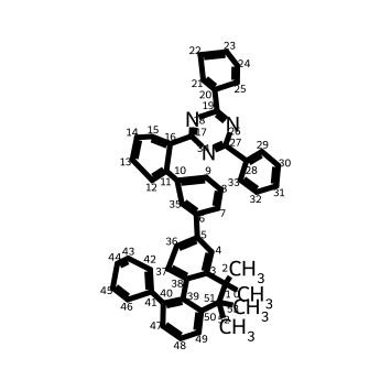 CC1(C)c2cc(-c3cccc(-c4ccccc4-c4nc(-c5ccccc5)nc(-c5ccccc5)n4)c3)ccc2-c2c(-c3ccccc3)cccc2C1(C)C